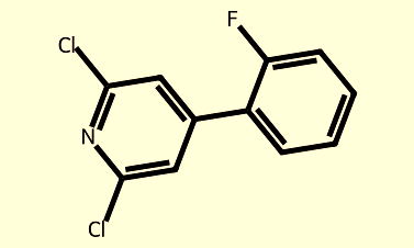 Fc1ccccc1-c1cc(Cl)nc(Cl)c1